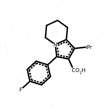 CC(C)c1c(C(=O)O)c(-c2ccc(F)cc2)n2c1CCCC2